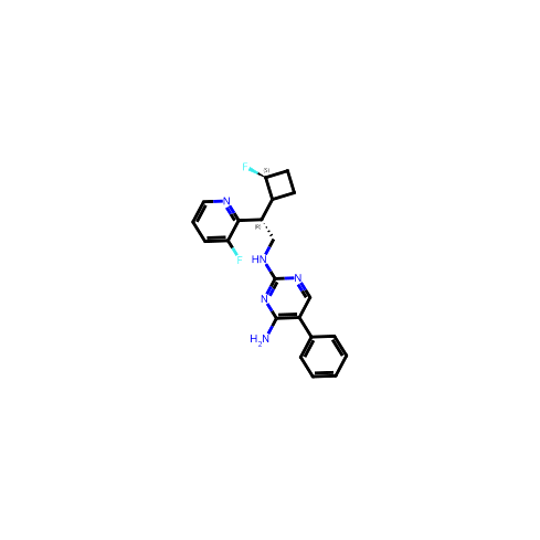 Nc1nc(NC[C@H](c2ncccc2F)C2CC[C@@H]2F)ncc1-c1ccccc1